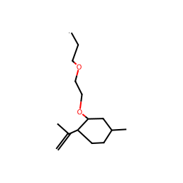 [CH2]CCOCCOC1CC(C)CCC1C(=C)C